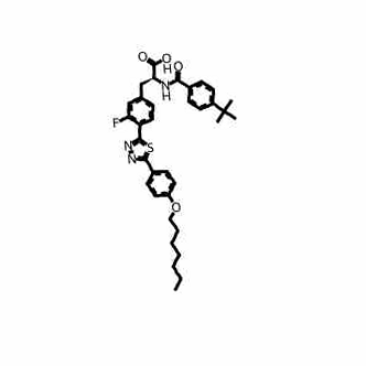 CCCCCCCOc1ccc(-c2nnc(-c3ccc(C[C@H](NC(=O)c4ccc(C(C)(C)C)cc4)C(=O)O)cc3F)s2)cc1